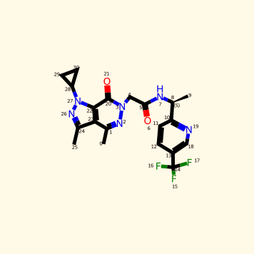 Cc1nn(CC(=O)N[C@@H](C)c2ccc(C(F)(F)F)cn2)c(=O)c2c1c(C)nn2C1CC1